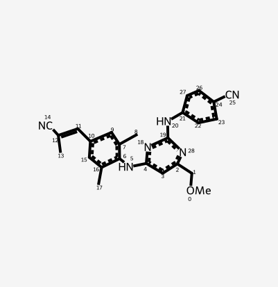 COCc1cc(Nc2c(C)cc(/C=C(\C)C#N)cc2C)nc(Nc2ccc(C#N)cc2)n1